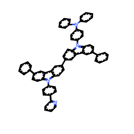 c1ccc(-c2ccc3c(c2)c2cc(-c4ccc5c(c4)c4cc(-c6ccccc6)ccc4n5-c4ccc(N(c5ccccc5)c5ccccc5)cc4)ccc2n3-c2ccc(-c3ccccn3)cc2)cc1